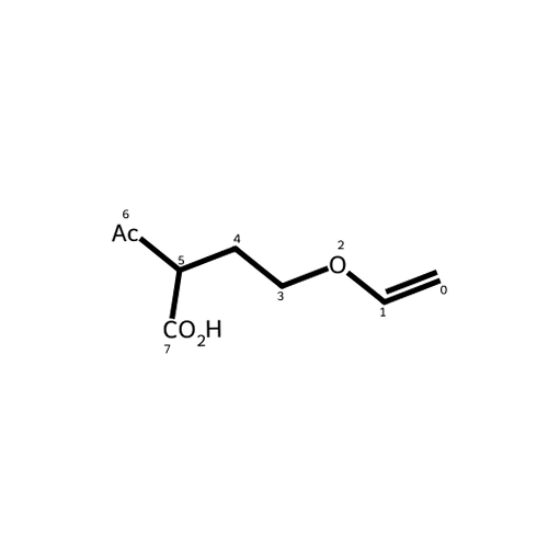 C=COCCC(C(C)=O)C(=O)O